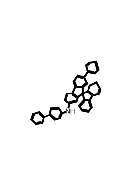 C1=CC2=C(CC1)C1(c3ccccc32)c2cc(Nc3ccc(-c4ccccc4)cc3)ccc2-c2ccc(-c3ccccc3)cc21